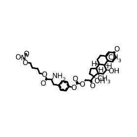 C[C@]12C=CC(=O)C=C1CC[C@@H]1[C@@H]2[C@@H](O)C[C@@]2(C)[C@H]1CC[C@]2(O)C(=O)COC(=O)Oc1ccc(C[C@H](N)C(=O)OCCCCO[N+](=O)[O-])cc1